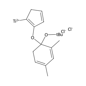 CC1=CCC(OC2=[C]([Ti+2])CC=C2)(OC(C)(C)C)C(C)=C1.[Cl-].[Cl-]